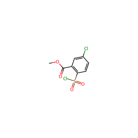 COC(=O)c1cc(Cl)ccc1S(=O)(=O)Cl